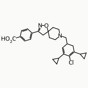 O=C(O)c1ccc(C2=NOC3(CCN(CC4C=C(C5CC5)C(Cl)=C(C5CC5)C4)CC3)C2)cc1